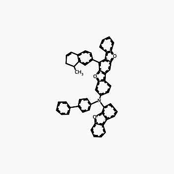 CC1CC=Cc2ccc(-c3c4oc5cc(N(c6ccc(-c7ccccc7)cc6)c6cccc7c6oc6ccccc67)ccc5c4cc4oc5ccccc5c34)cc21